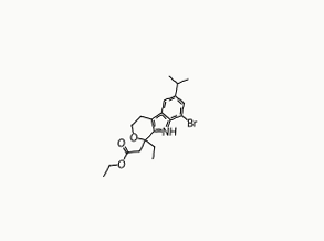 CCOC(=O)CC1(CC)OCCc2c1[nH]c1c(Br)cc(C(C)C)cc21